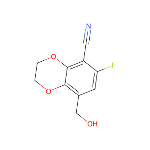 N#Cc1c(F)cc(CO)c2c1OCCO2